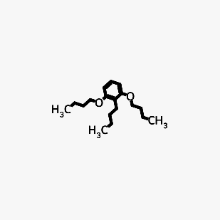 CCCCOc1cccc(OCCCC)c1CCCC